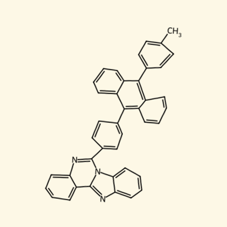 Cc1ccc(-c2c3ccccc3c(-c3ccc(-c4nc5ccccc5c5nc6ccccc6n45)cc3)c3ccccc23)cc1